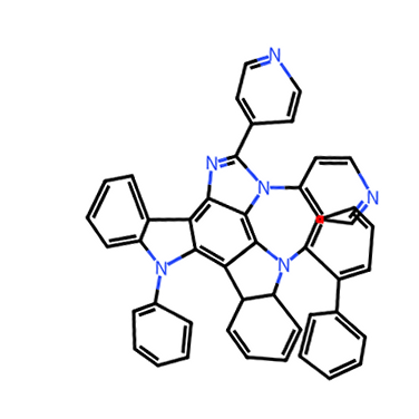 C1=CC2c3c(c4c(nc(-c5ccncc5)n4-c4ccncc4)c4c5ccccc5n(-c5ccccc5)c34)N(c3ccccc3-c3ccccc3)C2C=C1